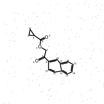 O=C(COC(=O)C1CC1)c1ccc2ccccc2c1